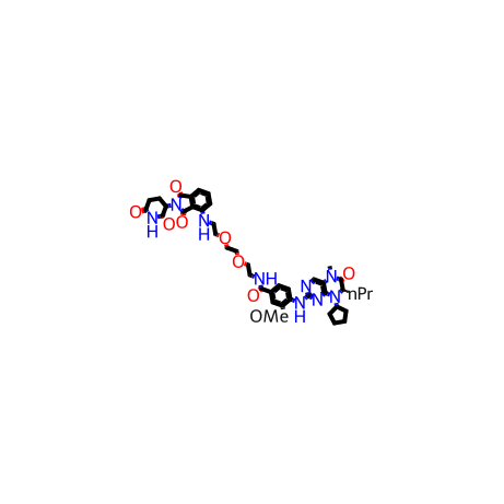 CCC[C@@H]1C(=O)N(C)c2cnc(Nc3ccc(C(=O)NCCOCCOCCNc4cccc5c4C(=O)N(C4CCC(=O)NC4=O)C5=O)cc3OC)nc2N1C1CCCC1